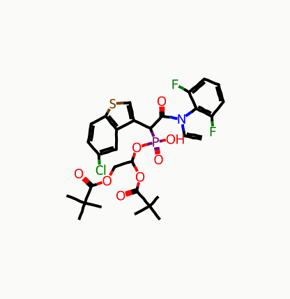 C=CN(C(=O)C(c1csc2ccc(Cl)cc12)P(=O)(O)OC(COC(=O)C(C)(C)C)OC(=O)C(C)(C)C)c1c(F)cccc1F